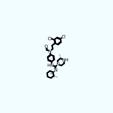 C[C@@H]1CCCC[C@H]1/N=C(\Nc1ccc(N(C=O)CCc2ccc(Cl)cc2Cl)cc1)N1CCN[C@@H](C)C1